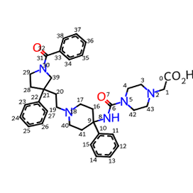 O=C(O)CN1CCN(C(=O)NC2(c3ccccc3)CCN(CCC3(c4ccccc4)CCN(C(=O)c4ccccc4)C3)CC2)CC1